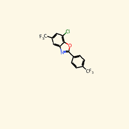 FC(F)(F)c1ccc(-c2nc3cc(C(F)(F)F)cc(Cl)c3o2)cc1